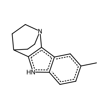 Cc1ccc2[nH]c3c(c2c1)N1CCC3CC1